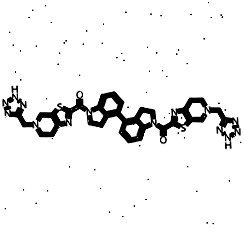 O=C(c1nc2c(s1)CN(Cc1nn[nH]n1)CC2)N1CCc2c(-c3cccc4c3CCN4C(=O)c3nc4c(s3)CN(Cc3nn[nH]n3)CC4)cccc21